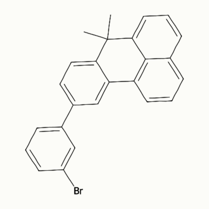 CC1(C)c2ccc(-c3cccc(Br)c3)cc2-c2cccc3cccc1c23